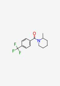 CC1CCCCN1C(=O)c1ccc(C(F)(F)F)cc1